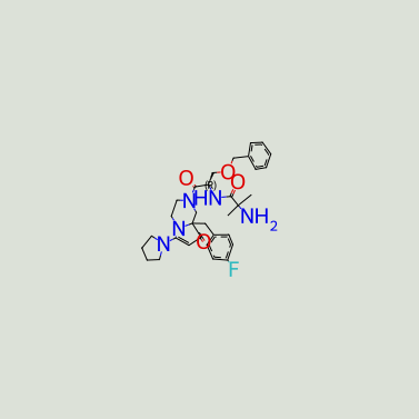 CC(C)(N)C(=O)N[C@H](COCc1ccccc1)C(=O)N1CCN2C(N3CCCC3)=CC(=O)C2(Cc2ccc(F)cc2)C1